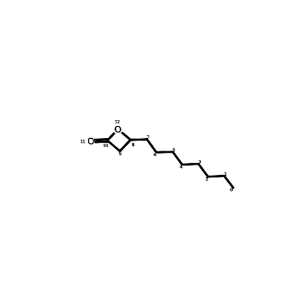 CCCCCCCCC1CC(=O)O1